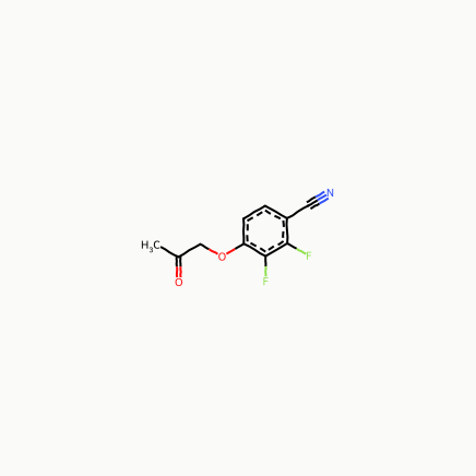 CC(=O)COc1ccc(C#N)c(F)c1F